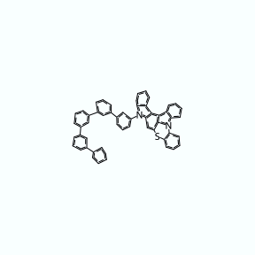 c1ccc(-c2cccc(-c3cccc(-c4cccc(-c5cccc(-n6c7ccccc7c7c8c9ccccc9n9c8c(cc76)Sc6ccccc6-9)c5)c4)c3)c2)cc1